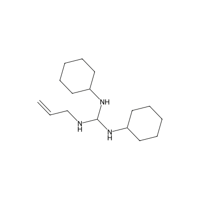 C=CCNC(NC1CCCCC1)NC1CCCCC1